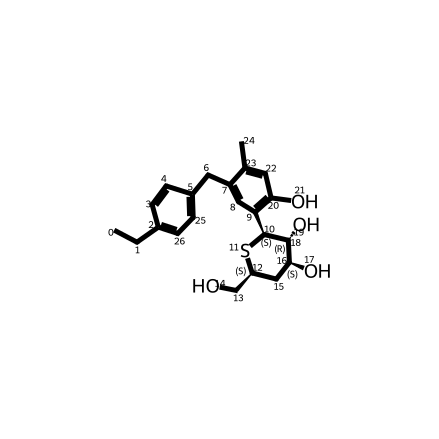 CCc1ccc(Cc2cc([C@@H]3S[C@H](CO)C[C@H](O)[C@H]3O)c(O)cc2C)cc1